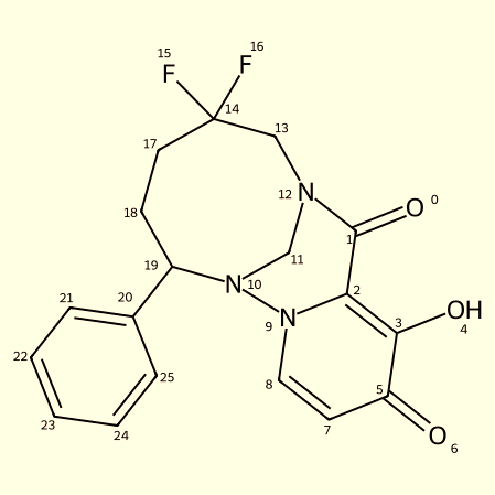 O=C1c2c(O)c(=O)ccn2N2CN1CC(F)(F)CCC2c1ccccc1